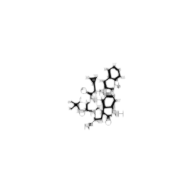 CC(C)(C)C[C@H](NC(=O)[C@@H](Nc1cnc2ccccc2c1)C1CC1)C(=O)N1C[C@]2(C[C@H]1C#N)C(=O)Nc1ccccc12